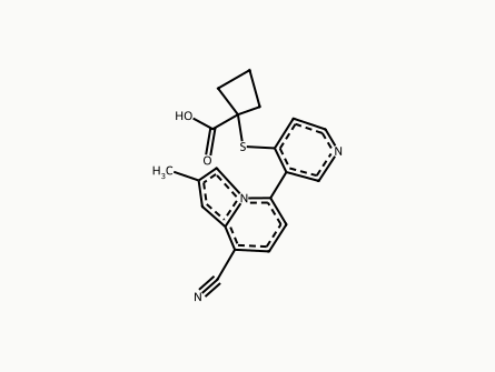 Cc1cc2c(C#N)ccc(-c3cnccc3SC3(C(=O)O)CCC3)n2c1